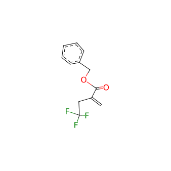 C=C(CC(F)(F)F)C(=O)OCc1ccccc1